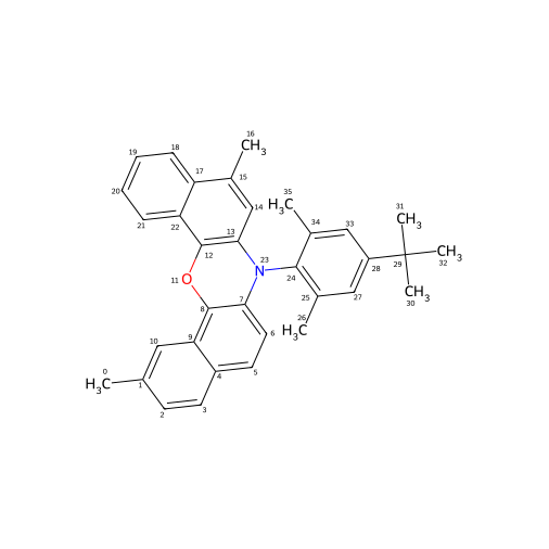 Cc1ccc2ccc3c(c2c1)Oc1c(cc(C)c2ccccc12)N3c1c(C)cc(C(C)(C)C)cc1C